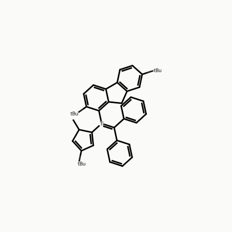 CC1C=C(C(C)(C)C)C=[C]1[Ti](=[C](c1ccccc1)c1ccccc1)[c]1c(C(C)(C)C)ccc2c1Cc1cc(C(C)(C)C)ccc1-2